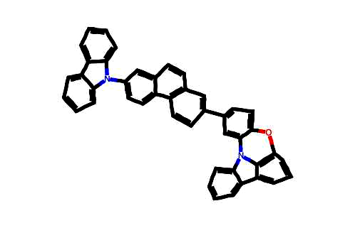 c1ccc2c(c1)c1ccccc1n2-c1ccc2c(ccc3cc(-c4ccc5c(c4)-n4c6ccccc6c6cccc(c64)O5)ccc32)c1